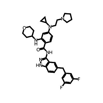 O=C(Nc1n[nH]c2ccc(Cc3cc(F)cc(F)c3)cc12)c1ccc(N(CCN2CCCC2)C2CC2)cc1NC1CCOCC1